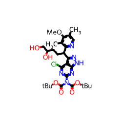 COc1c(C)cnc(C(CCC(O)CO)c2n[nH]c3nc(N(C(=O)OC(C)(C)C)C(=O)OC(C)(C)C)nc(Cl)c23)c1C